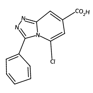 O=C(O)c1cc(Cl)n2c(-c3ccccc3)nnc2c1